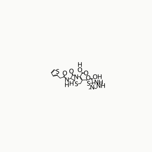 CN1CNNC1(SCC1=C(C(=O)O)N2C(=O)C(NC(=O)Cc3cccs3)[C@H]2SC1)C(=O)O